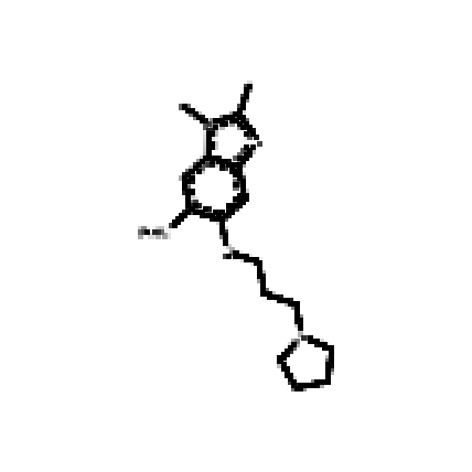 COc1cc2c(cc1OCCCN1CCCC1)nc(C)n2C